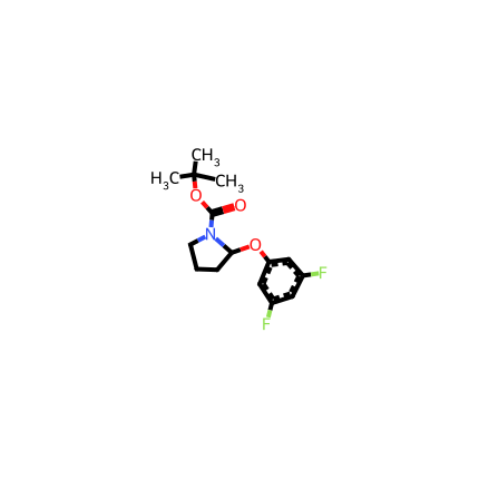 CC(C)(C)OC(=O)N1CCCC1Oc1cc(F)cc(F)c1